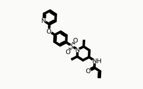 C=CC(=O)NC1CC(C)N(S(=O)(=O)c2ccc(Oc3ccccn3)cc2)C(C)C1